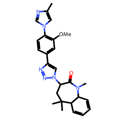 COc1cc(-c2cn(C3CC(C)(C)C4C=CC=CC4N(C)C3=O)nn2)ccc1-n1cnc(C)c1